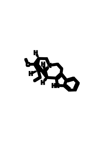 CC[C@H]1C(OC)[C@@H]2C[C@H]3c4[nH]c5ccccc5c4CCN(C2)[C@H]31